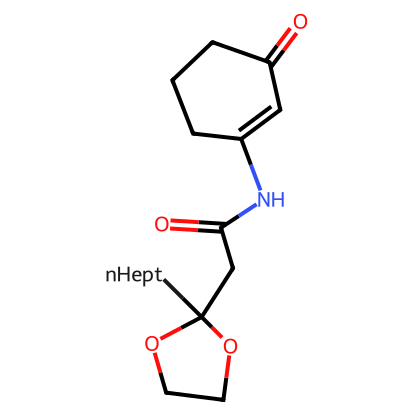 CCCCCCCC1(CC(=O)NC2=CC(=O)CCC2)OCCO1